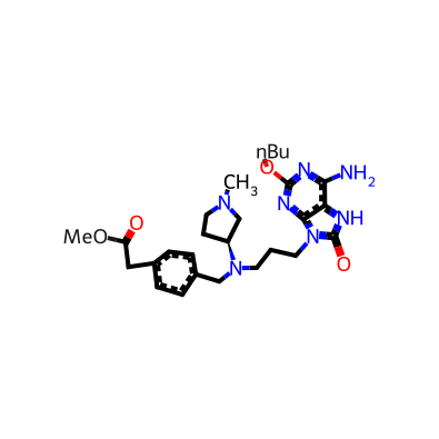 CCCCOc1nc(N)c2[nH]c(=O)n(CCCN(Cc3ccc(CC(=O)OC)cc3)[C@H]3CCN(C)C3)c2n1